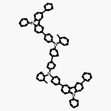 Cc1ccccc1N(c1ccc(-c2ccc(N(c3ccc(-c4ccc5c(c4)c4cc(-c6ccccc6)ccc4n5-c4ccccc4)cc3)c3ccccc3C)cc2)cc1)c1ccc(-c2ccc3c(c2)c2cc(-c4ccccc4)ccc2n3-c2ccccc2)cc1